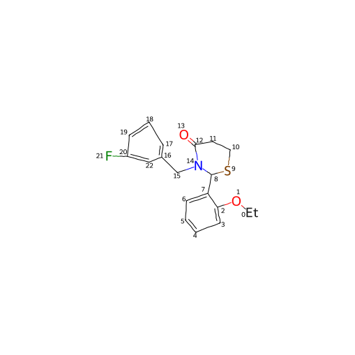 CCOc1ccccc1C1SCCC(=O)N1Cc1cccc(F)c1